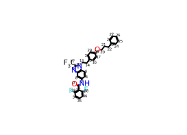 O=C(Nc1ccc2c(c1)nc(C(F)(F)F)n2CCc1ccc(OCCCc2ccccc2)cc1)c1c(F)cccc1F